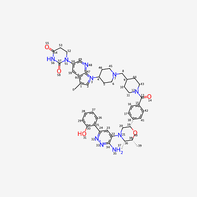 Cc1cn(C2CCN(CC3CCN(C(=O)c4ccc([C@H]5CN(c6cc(-c7ccccc7O)nnc6N)[C@@H](C)[C@@H](C)O5)cc4)CC3)CC2)c2ncc(N3CCC(=O)NC3=O)cc12